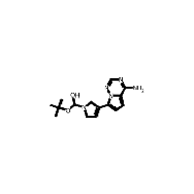 CC(C)(C)OC(O)N1CC=C(c2ccc3c(N)ncnn23)C1